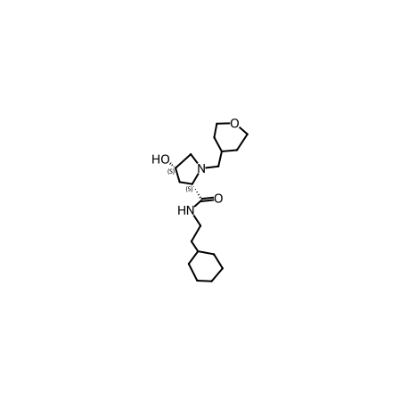 O=C(NCCC1CCCCC1)[C@@H]1C[C@H](O)CN1CC1CCOCC1